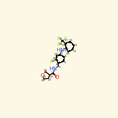 O=C(NCc1ccc(Nc2ccccc2C(F)(F)F)cc1F)C1CCOC1